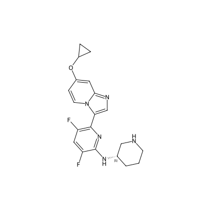 Fc1cc(F)c(-c2cnc3cc(OC4CC4)ccn23)nc1N[C@H]1CCCNC1